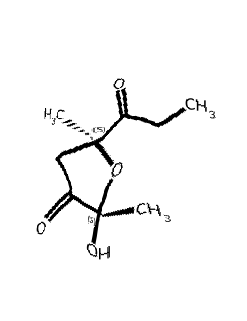 CCC(=O)[C@]1(C)CC(=O)[C@@](C)(O)O1